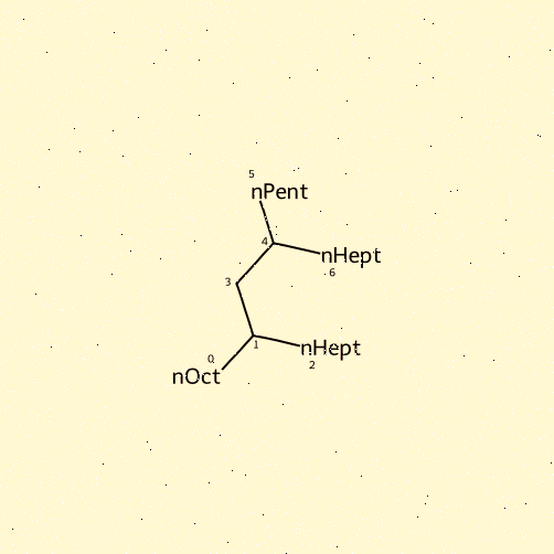 CCCCCCCCC(CCCCCCC)CC(CCCCC)CCCCCCC